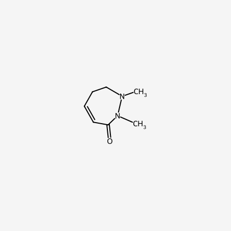 CN1CCC=CC(=O)N1C